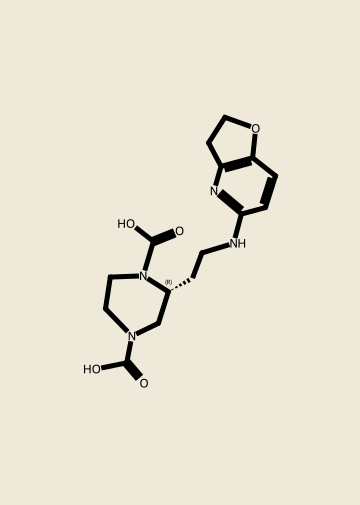 O=C(O)N1CCN(C(=O)O)[C@H](CCNc2ccc3c(n2)CCO3)C1